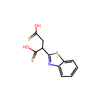 OC(=S)CC(C(O)=S)c1nc2ccccc2s1